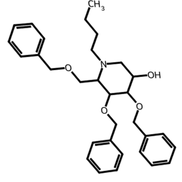 CCCCN1CC(O)C(OCc2ccccc2)C(OCc2ccccc2)C1COCc1ccccc1